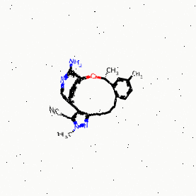 Cc1ccc2c(c1)[C@@H](C)Oc1cc(cnc1N)-c1c(nn(C)c1C#N)CCC2